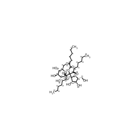 CCCCCCC(=O)OC(C(=O)CCCCCC)(C(=O)CCCCCC)[C@@]1(O[C@H]2O[C@H](CO)[C@@H](O)[C@H](O)[C@H]2O)O[C@H](CO)[C@@H](O)[C@@H]1O